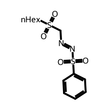 CCCCCCS(=O)(=O)CN=NS(=O)(=O)c1ccccc1